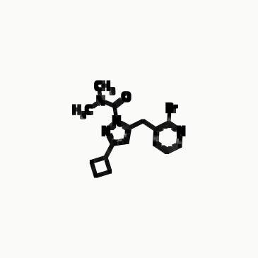 CN(C)C(=O)n1nc(C2CCC2)cc1Cc1cccnc1Br